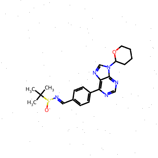 CC(C)(C)[S+]([O-])N=Cc1ccc(-c2ncnc3c2ncn3C2CCCCO2)cc1